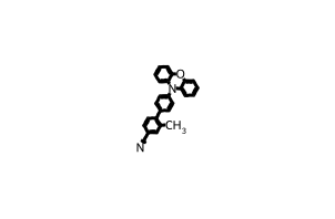 Cc1cc(C#N)ccc1-c1ccc(N2c3ccccc3Oc3ccccc32)cc1